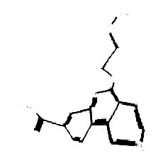 CCCCCOCCNc1nc2cc(C(=O)OC)ccc2c2cnccc12